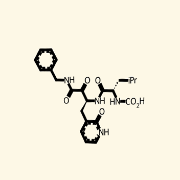 CC(C)C[C@H](NC(=O)O)C(=O)N[C@@H](Cc1ccc[nH]c1=O)C(=O)C(=O)NCc1ccccc1